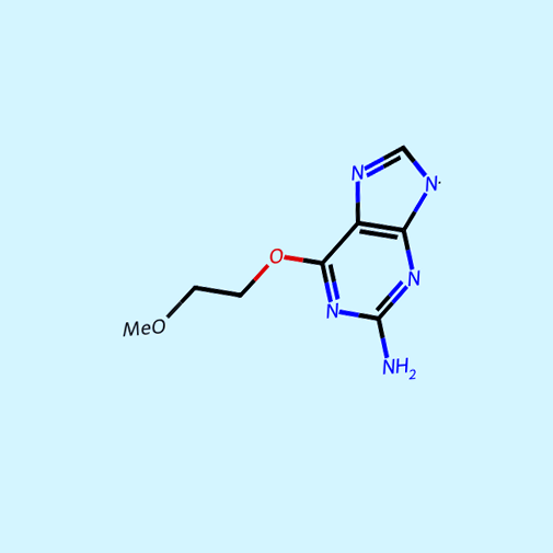 COCCOc1nc(N)nc2c1N=C[N]2